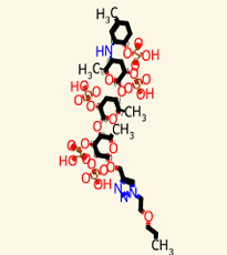 CCCOCCn1cc(CO[C@@H]2OC(C)[C@@H](O[C@H]3O[C@H](C)[C@@H](O[C@H]4O[C@H](C)[C@@H](N[C@H]5C=C(C)CC[C@H]5OS(=O)(=O)O)C[C@H]4OS(=O)(=O)O)C[C@H]3OS(=O)(=O)O)[C@H](OS(=O)(=O)O)[C@H]2OS(=O)(=O)O)nn1